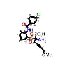 COCC#CCC(N)(C(=O)O)S(=O)(=O)c1ccccc1NC(=O)c1ccc(Cl)cc1